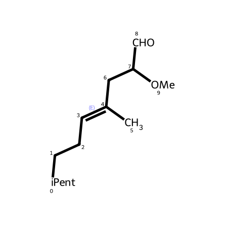 CCCC(C)CC/C=C(\C)CC(C=O)OC